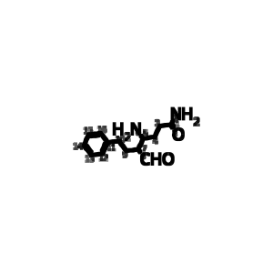 NC(=O)CCC(N)C(C=O)CCc1ccccc1